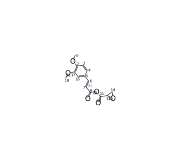 COc1ccc(/C=C/C(=O)OC(=O)C2CO2)cc1OC